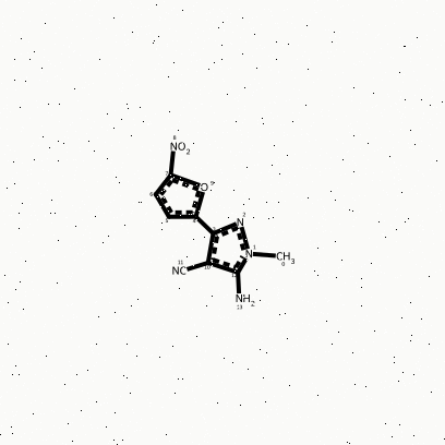 Cn1nc(-c2ccc([N+](=O)[O-])o2)c(C#N)c1N